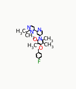 Cc1c(OCc2ccc(F)cc2)c(C)c(=O)n(-c2ccnc(-c3ccnc(C(C)C)n3)c2)c1C